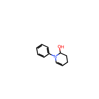 OC1CCC=CN1c1ccccc1